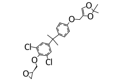 CC1(C)OC=C(COc2ccc(C(C)(C)c3cc(Cl)c(OC[C@H]4CO4)c(Cl)c3)cc2)O1